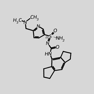 CN(C)Cc1ccc([S@@](N)(=O)=NC(=O)Nc2c3c(cc4c2CCC4)CCC3)cn1